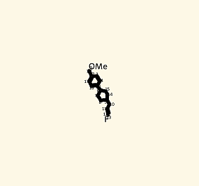 COCc1ccc(C2CCC(C/C=C/F)CC2)cc1